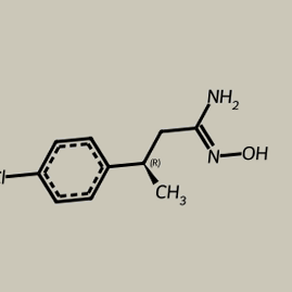 C[C@H](CC(N)=NO)c1ccc(Cl)cc1